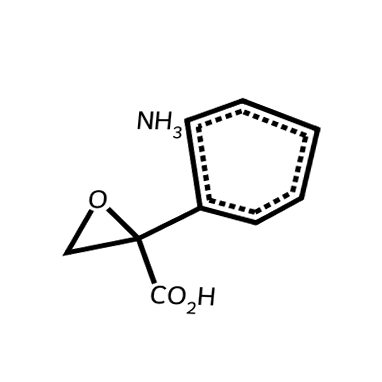 N.O=C(O)C1(c2ccccc2)CO1